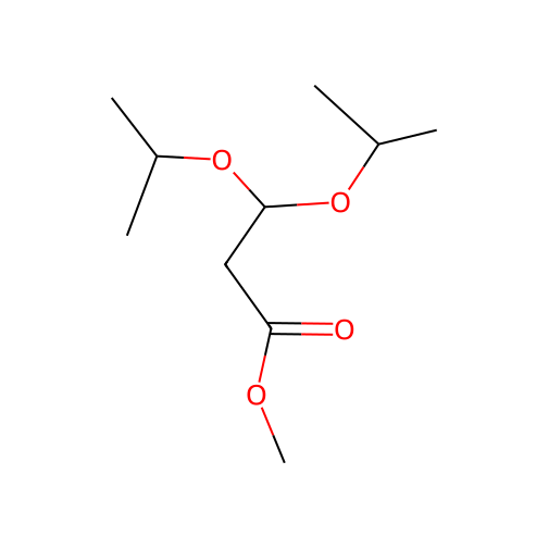 COC(=O)CC(OC(C)C)OC(C)C